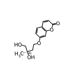 C[C@](O)(CO)CCOc1ccc2ccc(=O)oc2c1